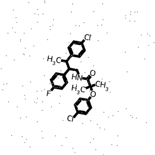 CC(c1ccc(Cl)cc1)C(CNC(=O)C(C)(C)Oc1ccc(Cl)cc1)c1ccc(F)cc1